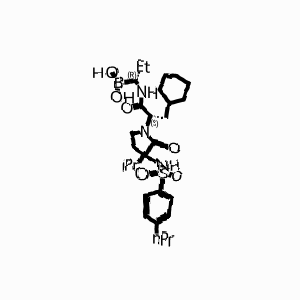 CCCc1ccc(S(=O)(=O)NC2(C(C)C)CCN([C@@H](CC3CCCCC3)C(=O)N[C@@H](CC)B(O)O)C2=O)cc1